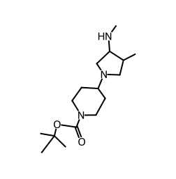 CNC1CN(C2CCN(C(=O)OC(C)(C)C)CC2)CC1C